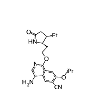 CC[C@@H]1CC(=O)N[C@@H]1CCOc1ncc(N)c2cc(C#N)c(OC(C)C)cc12